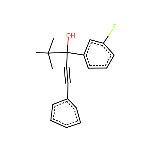 CC(C)(C)C(O)(C#Cc1ccccc1)c1cccc(F)c1